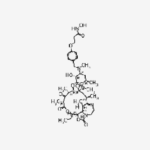 CC[C@H]1OC(=O)[C@H](C)C(=O)[C@H](C)[C@@H](O[C@@H]2O[C@H](C)C[C@H](N(C)Cc3ccc(OCCC(=O)NO)cc3)[C@H]2O)[C@](C)(OC)C[C@@H](C)C2=NCCN3C(=O)O[C@@]1(C)[C@H]3[C@H]2C